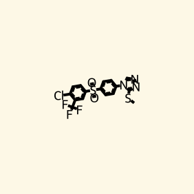 CSc1nncn1-c1ccc(S(=O)(=O)c2ccc(Cl)c(C(F)(F)F)c2)cc1